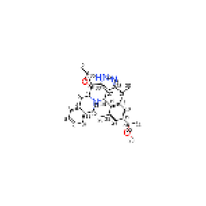 CCOCC1Cc2ccccc2CN1C(c1c(C)cc(C(C)OC)cc1C)c1c(CC)n[nH]c1CC